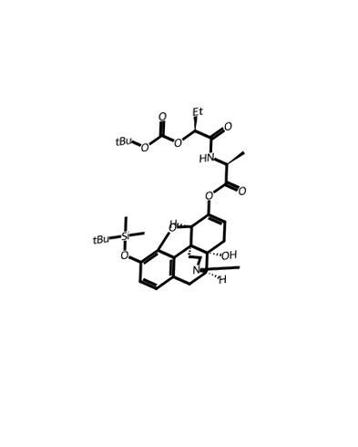 CC[C@H](OC(=O)OC(C)(C)C)C(=O)N[C@@H](C)C(=O)OC1=CC[C@@]2(O)[C@H]3Cc4ccc(O[Si](C)(C)C(C)(C)C)c5c4[C@@]2(CCN3C)[C@H]1O5